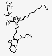 CCCCCCC=C[C@H]1C[C@@H](C(=O)OCC)C(=O)[C@@H]1CCCCC(OC1CCCCO1)C(=O)OCC